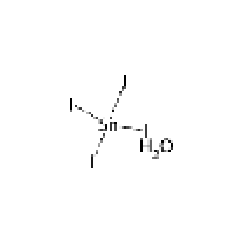 O.[I][Sn]([I])([I])[I]